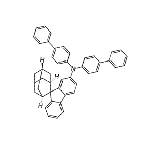 c1ccc(-c2ccc(N(c3ccc(-c4ccccc4)cc3)c3ccc4c(c3)C3(c5ccccc5-4)[C@H]4CC5C[C@H](C4)C[C@@H]3C5)cc2)cc1